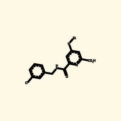 CCOc1cc(C(=O)O)nc(C(=O)NCc2cccc(Cl)c2)c1